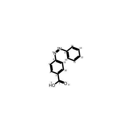 O=C(O)c1ccc(/N=N\c2ccccc2)cc1